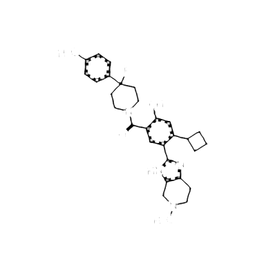 Cc1ccc(C2(F)CCN(C(=O)c3cc(-c4nc5c([nH]4)CN(C)CC5)c(C4CCC4)cc3C)CC2)cc1